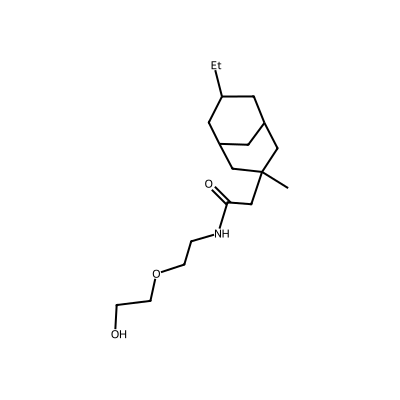 CCC1CC2CC(C1)CC(C)(CC(=O)NCCOCCO)C2